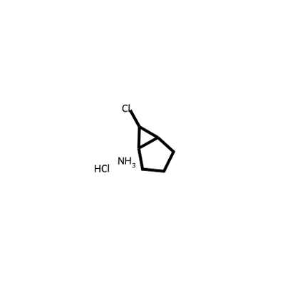 Cl.ClC1C2CCCC12.N